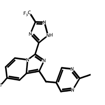 Cc1ncc(Cc2nc(-c3nc(C(F)(F)F)n[nH]3)n3ccc(Cl)cc23)cn1